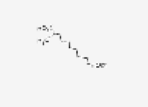 CCCCCCCC/C=C/CCCCCC[C@H](C)C(=O)O